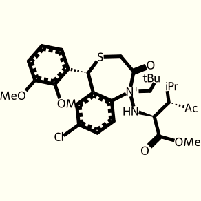 COC(=O)[C@@H](N[N+]1(CC(C)(C)C)C(=O)CS[C@@H](c2cccc(OC)c2OC)c2cc(Cl)ccc21)[C@@H](C(C)=O)C(C)C